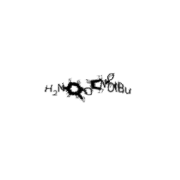 Cc1cc(N)ccc1O[C@@H]1CCN(C(=O)OC(C)(C)C)C1